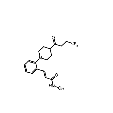 O=C(/C=C/c1ccccc1N1CCC(C(=O)CCC(F)(F)F)CC1)NO